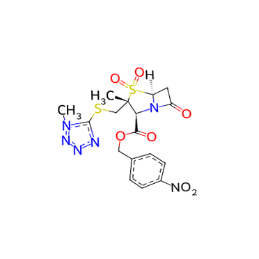 Cn1nnnc1SC[C@@]1(C)[C@H](C(=O)OCc2ccc([N+](=O)[O-])cc2)N2C(=O)C[C@@H]2S1(=O)=O